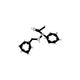 CC(=O)N(OCc1ccccc1)c1ccccc1